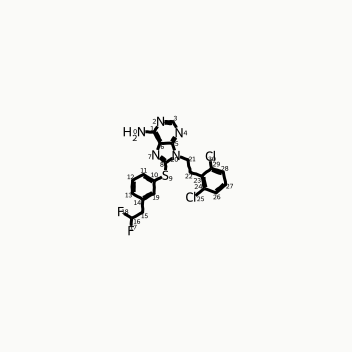 Nc1ncnc2c1nc(Sc1cccc(CC(F)F)c1)n2CCc1c(Cl)cccc1Cl